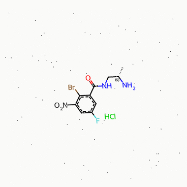 C[C@H](N)CNC(=O)c1cc(F)cc([N+](=O)[O-])c1Br.Cl